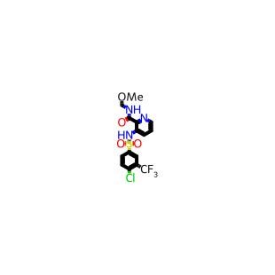 COCNC(=O)c1ncccc1NS(=O)(=O)c1ccc(Cl)c(C(F)(F)F)c1